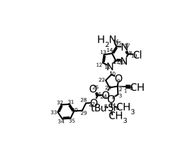 C#C[C@]1(CO[Si](C)(C)C(C)(C)C)O[C@@H](n2ccc3c(N)nc(Cl)nc32)C[C@@H]1OC(=O)OCCc1ccccc1